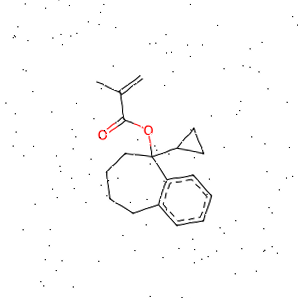 C=C(C)C(=O)OC1(C2CC2)CCCCc2ccccc21